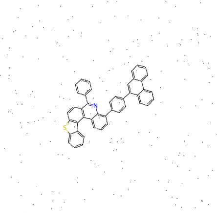 c1ccc(-c2nc3c(-c4ccc(-c5cc6ccccc6c6ccccc56)cc4)cccc3c3c2ccc2sc4ccccc4c23)cc1